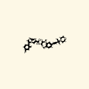 CN1C(=O)[C@@H](NC(=O)c2cn3c(-c4ccc(F)cc4F)csc3n2)COc2ccc(C#CC(C)(C)N3CCOCC3)cc21